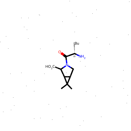 CC1(C)C2CN(C(=O)[C@@H](N)C(C)(C)C)C(C(=O)O)C21